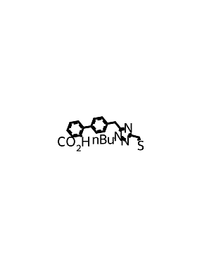 CCCCn1nc(C=S)nc1Cc1ccc(-c2ccccc2C(=O)O)cc1